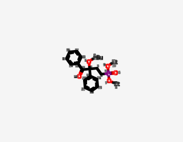 CCCCOC(CCP(=O)(OCC)OCC)(C(=O)c1ccccc1)c1ccccc1